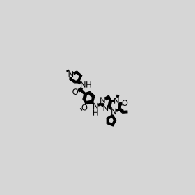 C/C=C1\C(=O)N(C)c2cnc(Nc3ccc(C(=O)NC4CCN(C)CC4)cc3OC)nc2N1C1CCCC1